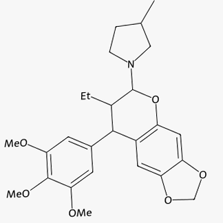 CCC1C(c2cc(OC)c(OC)c(OC)c2)c2cc3c(cc2OC1N1CCC(C)C1)OCO3